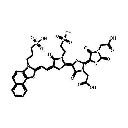 O=C(O)CN1C(=O)S/C(=c2/s/c(=c3/sc(=CC=C4Sc5c(ccc6ccccc56)N4CCCS(=O)(=O)O)c(=O)n3CCS(=O)(=O)O)c(=O)n2CC(=O)O)C1=O